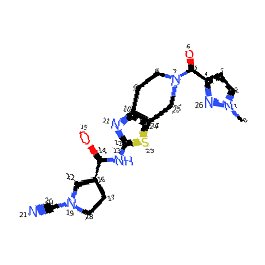 Cn1ccc(C(=O)N2CCc3nc(NC(=O)[C@H]4CCN(C#N)C4)sc3C2)n1